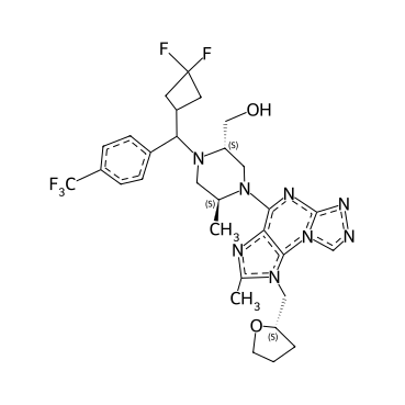 Cc1nc2c(N3C[C@@H](CO)N(C(c4ccc(C(F)(F)F)cc4)C4CC(F)(F)C4)C[C@@H]3C)nc3nncn3c2n1C[C@@H]1CCCO1